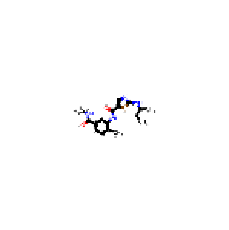 CCC(C)Nc1ncc(C(=O)Nc2cc(C(=O)NC)ccc2C)s1